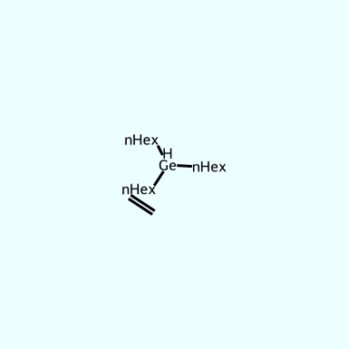 C=C.CCCCC[CH2][GeH]([CH2]CCCCC)[CH2]CCCCC